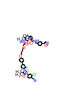 CC(C)(C)C(NC(=O)COCCCCOc1ccc(-c2ccc(N3C(=S)N(c4ccc(C#N)c(Cl)c4)C(=O)C3(C)C)c(F)c2)cc1)C(=O)N1CCC[C@H]1C(=O)NCc1ccc(-c2cnco2)cc1